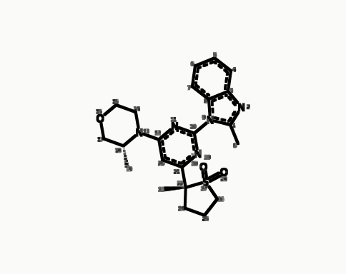 Cc1nc2ccccc2n1-c1nc(N2CCOC[C@H]2C)cc([C@@]2(C)CCCS2(=O)=O)n1